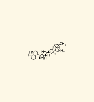 Cc1csc(C2(CN)[C@@H]3CN(C4C=Nc5c(C6CCNC7C(F)CCCC67)n[nH]c5N4)C[C@@H]32)n1